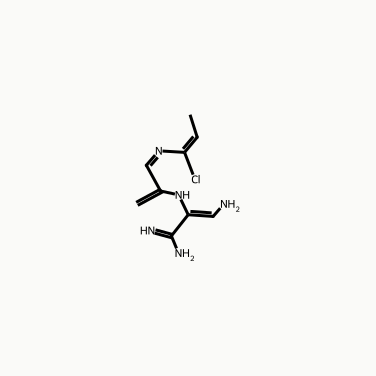 C=C(/C=N\C(Cl)=C/C)N/C(=C\N)C(=N)N